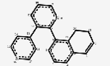 C1=Cc2cccc(-c3ncccc3-c3ccncc3)c2CC1